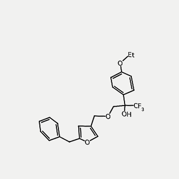 CCOc1ccc(C(O)(COCc2coc(Cc3ccccc3)c2)C(F)(F)F)cc1